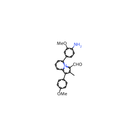 COc1ccc(-c2c(C)c(C=O)n3c(-c4ccc(N)c(OC)c4)cccc23)cc1